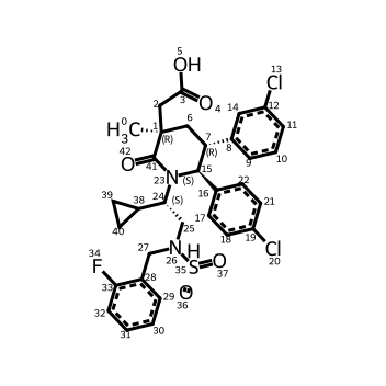 C[C@]1(CC(=O)O)C[C@H](c2cccc(Cl)c2)[C@@H](c2ccc(Cl)cc2)N([C@H](CN(Cc2ccccc2F)[SH](=O)=O)C2CC2)C1=O